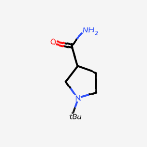 CC(C)(C)N1CCC(C(N)=O)C1